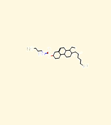 CC(C)CCC[C@@H](C)[C@H]1CCC2C3CC=C4CC(OC(=O)NCCCC#N)CC[C@]4(C)C3CC[C@@]21C